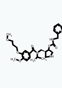 COCCCOc1cc(C(=O)N(C[C@@H]2CNCC2OC(=O)NCc2ccccn2)C(C)C)ccc1OC